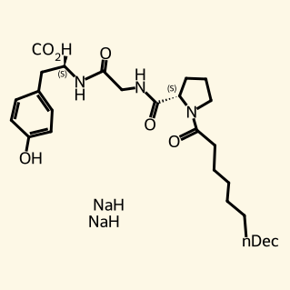 CCCCCCCCCCCCCCCC(=O)N1CCC[C@H]1C(=O)NCC(=O)N[C@@H](Cc1ccc(O)cc1)C(=O)O.[NaH].[NaH]